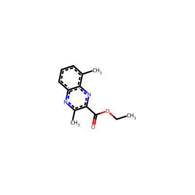 CCOC(=O)c1nc2c(C)cccc2nc1C